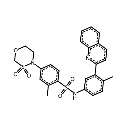 Cc1ccc(NS(=O)(=O)c2ccc(N3CCOCS3(=O)=O)cc2C)cc1-c1ccc2ccccc2n1